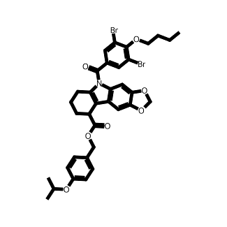 CCCCOc1c(Br)cc(C(=O)n2c3c(c4cc5c(cc42)OCO5)C(C(=O)OCc2ccc(OC(C)C)cc2)CCC3)cc1Br